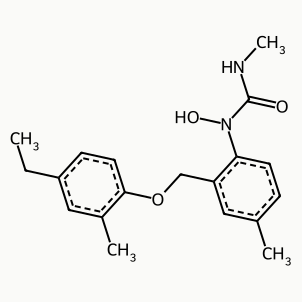 CCc1ccc(OCc2cc(C)ccc2N(O)C(=O)NC)c(C)c1